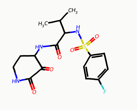 CC(C)C(NS(=O)(=O)c1ccc(F)cc1)C(=O)NC1CCNC(=O)C1=O